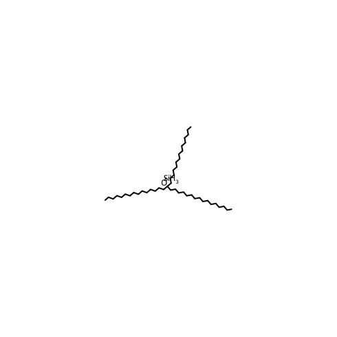 CCCCCCCCCCCCCCCCC(CCCCCCCCCCCCCCC)(CCCCCCCCCCCCCCC)O[SiH3]